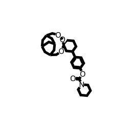 O=C(Oc1ccc(C2CCC[C@@]3(C2)OCC2CC4CC(COO3)CC(C2)C4)cc1)N1CCCCC1